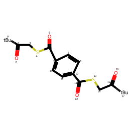 CC(C)(C)C(=O)CSC(=O)c1ccc(C(=O)SCC(=O)C(C)(C)C)cc1